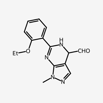 CCOc1ccccc1C1=Nc2c(cnn2C)C(C=O)N1